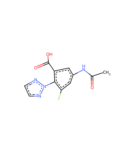 CC(=O)Nc1cc(F)c(-n2nccn2)c(C(=O)O)c1